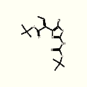 C/C=C(\C(=O)OC(C)(C)C)c1nc(NC(=O)OC(C)(C)C)sc1Cl